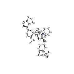 COc1ccc(C2=NOC3CCCC23)cc1C(=O)NC1C2CCC(/C2=C/C2CC2)[C@@H]1C(=O)Nc1ccc(F)c(C(F)(F)F)c1